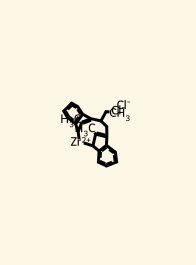 CCC1CC2=C(C)[CH]([Zr+2][CH]3C(C)=C1c1ccccc13)c1ccccc12.[Cl-].[Cl-]